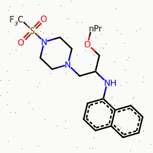 CCCOCC(CN1CCN(S(=O)(=O)C(F)(F)F)CC1)Nc1cccc2ccccc12